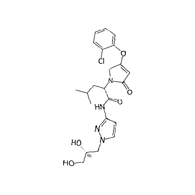 CC(C)CC(C(=O)Nc1ccn(C[C@@H](O)CO)n1)N1CC(Oc2ccccc2Cl)=CC1=O